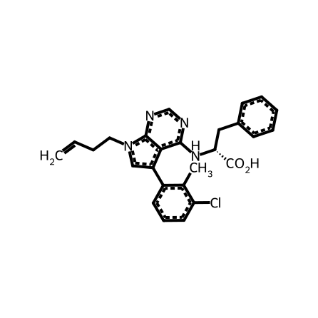 C=CCCn1cc(-c2cccc(Cl)c2C)c2c(N[C@H](Cc3ccccc3)C(=O)O)ncnc21